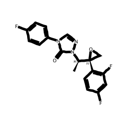 C[C@@H](n1ncn(-c2ccc(F)cc2)c1=O)[C@@]1(c2ccc(F)cc2F)CO1